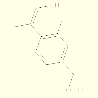 CCOC(=O)Cc1ccc(/C(C)=C\O)c(F)c1